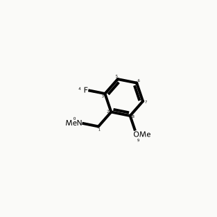 [CH2-][NH2+]Cc1c(F)cccc1OC